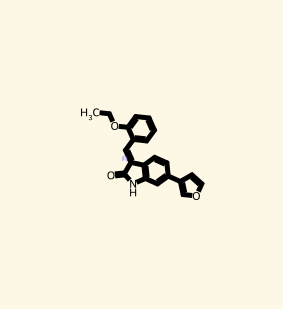 CCOc1ccccc1/C=C1/C(=O)Nc2cc(-c3ccoc3)ccc21